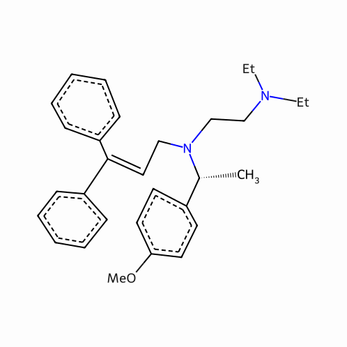 CCN(CC)CCN(CC=C(c1ccccc1)c1ccccc1)[C@H](C)c1ccc(OC)cc1